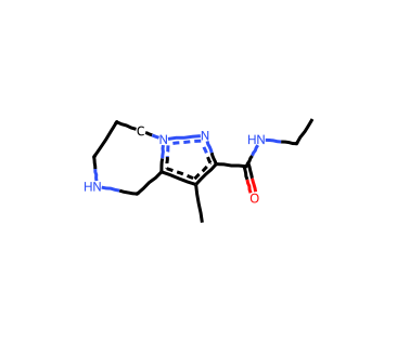 CCNC(=O)c1nn2c(c1C)CNCCC2